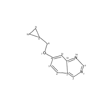 c1ncc2ccc(OCC3CC3)cc2n1